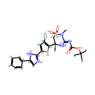 CN1/C(=N/C(=O)OC(C)(C)C)N[C@](C)(c2sc(-c3ncc(-c4ccccc4)[nH]3)cc2Cl)CS1(=O)=O